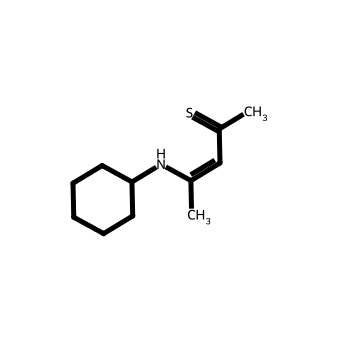 CC(=S)/C=C(/C)NC1CCCCC1